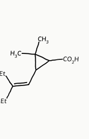 CCC(=CC1C(C(=O)O)C1(C)C)CC